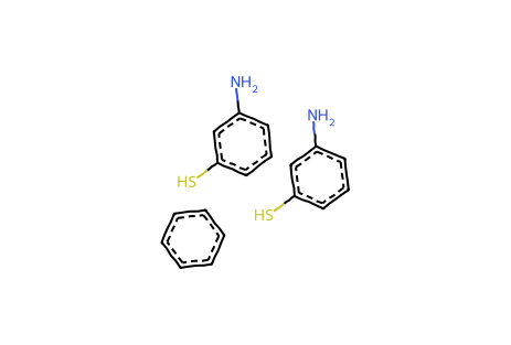 Nc1cccc(S)c1.Nc1cccc(S)c1.c1ccccc1